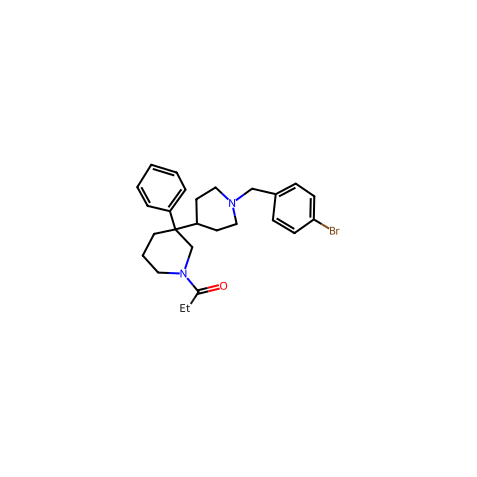 CCC(=O)N1CCCC(c2ccccc2)(C2CCN(Cc3ccc(Br)cc3)CC2)C1